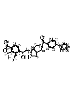 Cc1c([C@@H](O)CN2CCC3CN(C(=O)c4ccc(-n5cnnn5)cn4)CC32)ccc2c1COC2=O